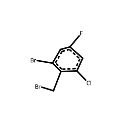 Fc1cc(Cl)c(CBr)c(Br)c1